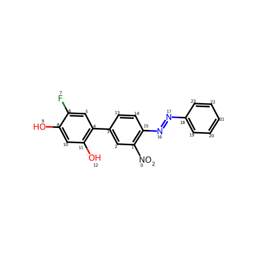 O=[N+]([O-])c1cc(-c2cc(F)c(O)cc2O)ccc1/N=N/c1ccccc1